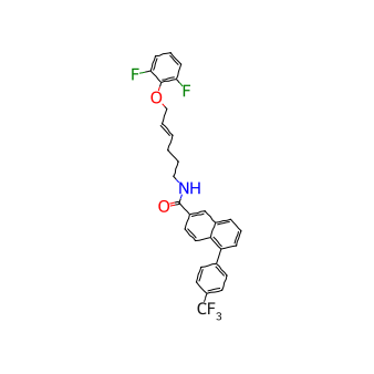 O=C(NCCC/C=C/COc1c(F)cccc1F)c1ccc2c(-c3ccc(C(F)(F)F)cc3)cccc2c1